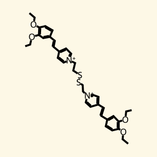 CCOc1ccc(C=Cc2cc[n+](CCSSCC[n+]3ccc(C=Cc4ccc(OCC)c(OCC)c4)cc3)cc2)cc1OCC